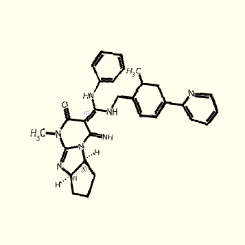 CC1CC(c2ccccn2)=CC=C1CN/C(Nc1ccccc1)=c1/c(=O)n(C)c2n(c1=N)[C@H]1CCC[C@H]1N=2